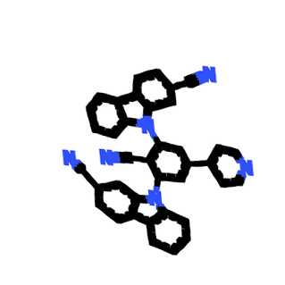 N#Cc1ccc2c3ccccc3n(-c3cc(-c4ccncc4)cc(-n4c5ccccc5c5ccc(C#N)cc54)c3C#N)c2c1